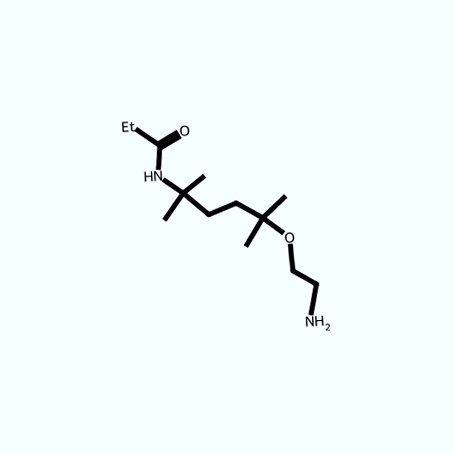 CCC(=O)NC(C)(C)CCC(C)(C)OCCN